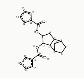 O=C(OC1CC2C3CCC(C3)C2C1OC(=O)c1ccsc1)c1ccsc1